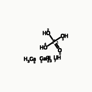 O=P(O)(O)O.[GaH3].[GaH3].[LiH].[Ti]